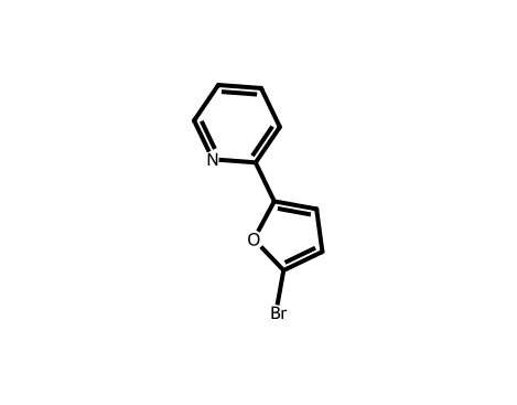 Brc1ccc(-c2ccccn2)o1